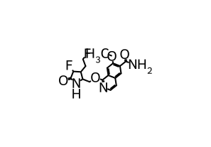 COc1cc2c(OCC3NC(=O)C(F)C3CCF)nccc2cc1C(N)=O